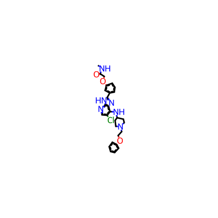 CNC(=O)COc1cccc(-c2nc3c(NC4CCN(CCOc5ccccc5)CC4)c(Cl)cnc3[nH]2)c1